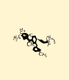 C=C1C[C@H](C/C=C(\C)F)C(Cc2cccc(C)c2)C=C1C(=C)c1ccc(C)c(C)c1